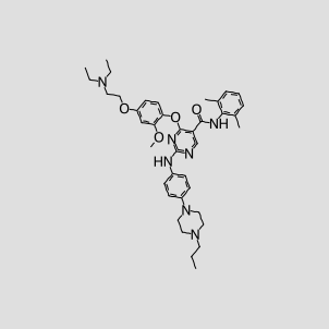 CCCN1CCN(c2ccc(Nc3ncc(C(=O)Nc4c(C)cccc4C)c(Oc4ccc(OCCN(CC)CC)cc4OC)n3)cc2)CC1